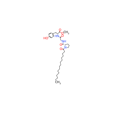 CCCCCCCCCCCCCCCC(=O)N1CCC[C@H]1C(=O)NCC(=O)N[C@@H](Cc1ccc(O)cc1)C(=O)OC